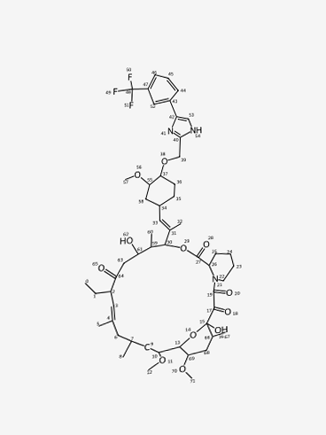 CCC1/C=C(\C)CC(C)CC(OC)C2OC(O)(C(=O)C(=O)N3CCCCC3C(=O)OC(C(C)=CC3CCC(OCc4nc(-c5cccc(C(F)(F)F)c5)c[nH]4)C(OC)C3)C(C)C(O)CC1=O)C(C)CC2OC